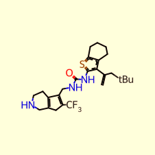 C=C(CC(C)(C)C)c1c(NC(=O)NCC2=C(C(F)(F)F)CC3=C2CCNC3)sc2c1CCCC2